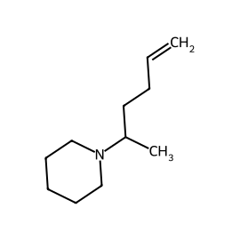 C=CCCC(C)N1CCCCC1